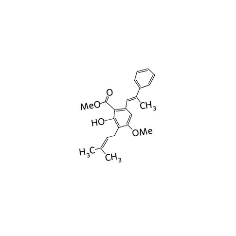 COC(=O)c1c(/C=C(\C)c2ccccc2)cc(OC)c(CC=C(C)C)c1O